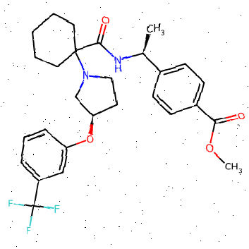 COC(=O)c1ccc([C@H](C)NC(=O)C2(N3CC[C@@H](Oc4cccc(C(F)(F)F)c4)C3)CCCCC2)cc1